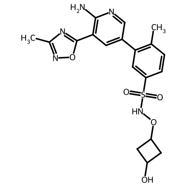 Cc1noc(-c2cc(-c3cc(S(=O)(=O)NOC4CC(O)C4)ccc3C)cnc2N)n1